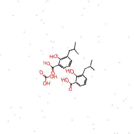 CC(C)Cc1cccc(C(=O)O)c1O.CC(C)Cc1cccc(C(=O)O)c1O.O=C(O)O